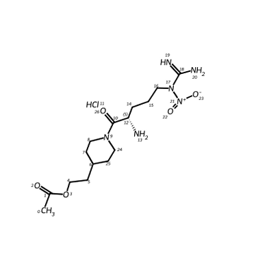 CC(=O)OCCC1CCN(C(=O)[C@@H](N)CCCN(C(=N)N)[N+](=O)[O-])CC1.Cl